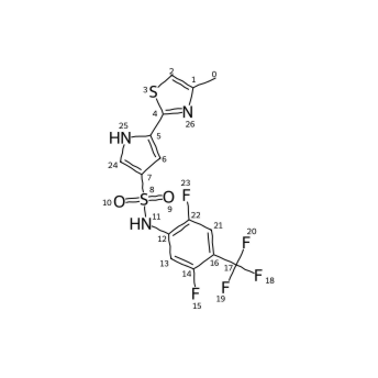 Cc1csc(-c2cc(S(=O)(=O)Nc3cc(F)c(C(F)(F)F)cc3F)c[nH]2)n1